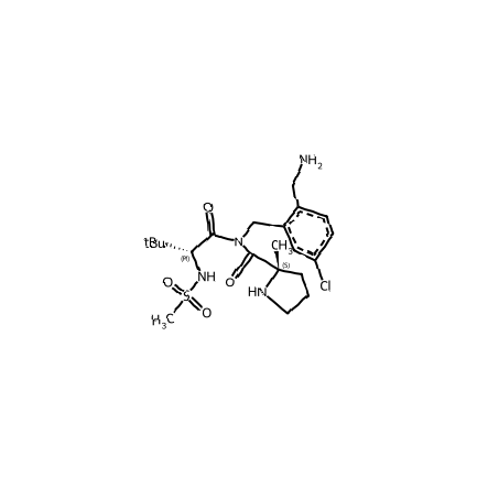 CC(C)(C)[C@@H](NS(C)(=O)=O)C(=O)N(Cc1cc(Cl)ccc1CN)C(=O)[C@]1(C)CCCN1